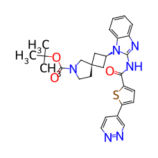 CC(C)(C)OC(=O)N1CC[C@]2(C1)C[C@H](n1c(NC(=O)c3ccc(-c4ccnnc4)s3)nc3ccccc31)C2